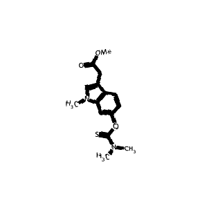 COC(=O)Cc1cn(C)c2cc(OC(=S)N(C)C)ccc12